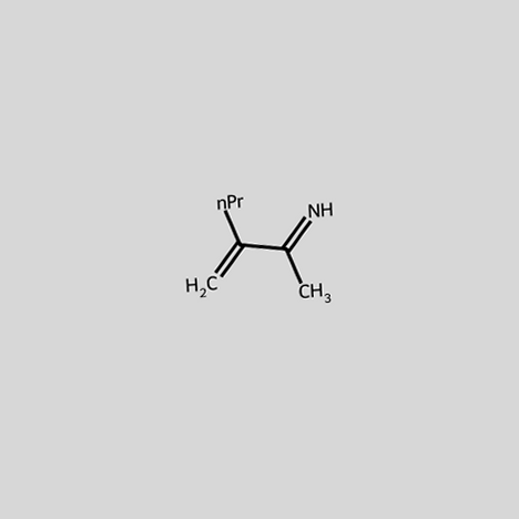 C=C(CCC)C(C)=N